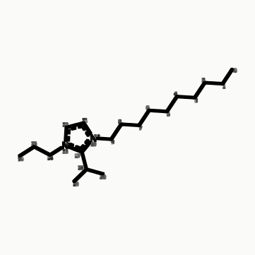 CCCCCCCCCC[n+]1ccn(CCC)c1C(C)C